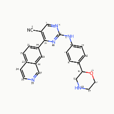 N#Cc1cnc(Nc2ccc(C3CNCCO3)cc2)nc1-c1ccc2ccncc2c1